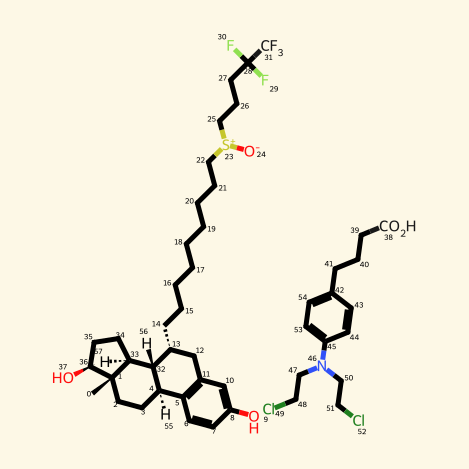 C[C@]12CC[C@@H]3c4ccc(O)cc4C[C@@H](CCCCCCCCC[S+]([O-])CCCC(F)(F)C(F)(F)F)[C@H]3[C@@H]1CC[C@@H]2O.O=C(O)CCCc1ccc(N(CCCl)CCCl)cc1